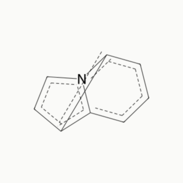 c1cc2c3ccn2c3c1